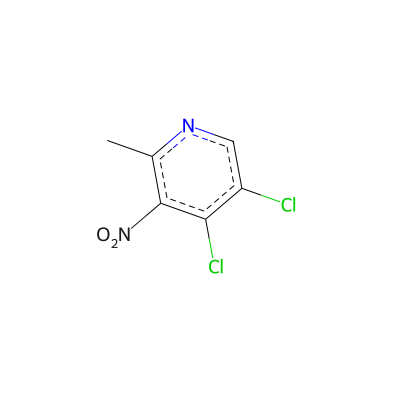 Cc1ncc(Cl)c(Cl)c1[N+](=O)[O-]